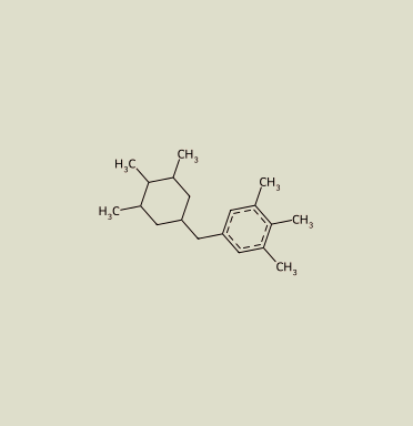 Cc1cc(CC2CC(C)C(C)C(C)C2)cc(C)c1C